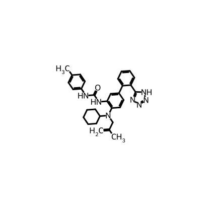 C=C(C)CN(c1ccc(-c2ccccc2-c2nnn[nH]2)cc1NC(=O)Nc1ccc(C)cc1)C1CCCCC1